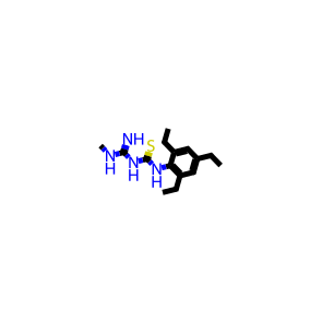 CCc1cc(CC)c(NC(=S)NC(=N)NC)c(CC)c1